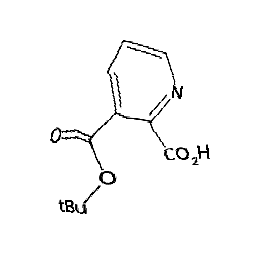 CC(C)(C)OC(=O)c1cccnc1C(=O)O